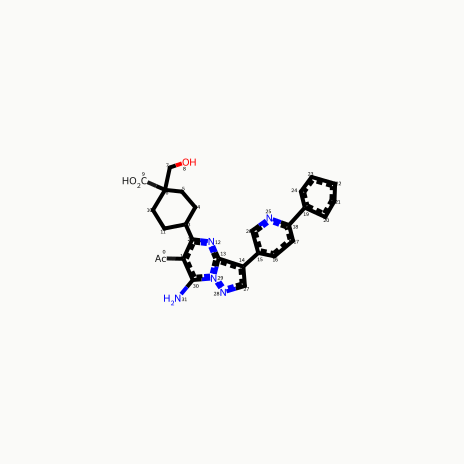 CC(=O)c1c(C2CCC(CO)(C(=O)O)CC2)nc2c(-c3ccc(-c4ccccc4)nc3)cnn2c1N